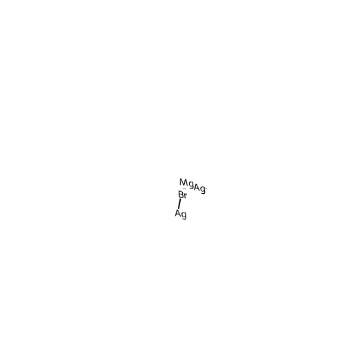 [Ag].[Br][Ag].[Mg]